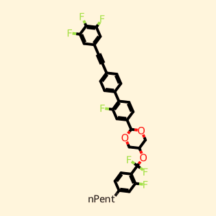 CCCCCc1ccc(C(F)(F)OC2COC(c3ccc(-c4ccc(C#Cc5cc(F)c(F)c(F)c5)cc4)c(F)c3)OC2)c(F)c1